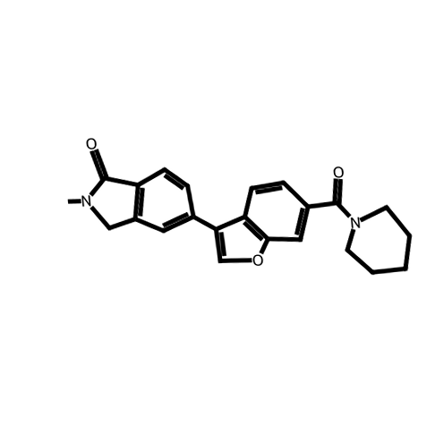 CN1Cc2cc(-c3coc4cc(C(=O)N5CCCCC5)ccc34)ccc2C1=O